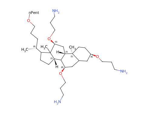 CCCCCOCCC[C@@H](C)C1CC[C@H]2C3[C@H](OCCCN)CC4C[C@H](OCCCN)CC[C@]4(C)[C@H]3C[C@H](OCCCN)C12C